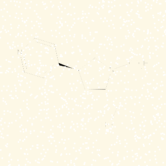 O=C(O)N1C[C@H](c2ccncc2)C[C@H]1CO